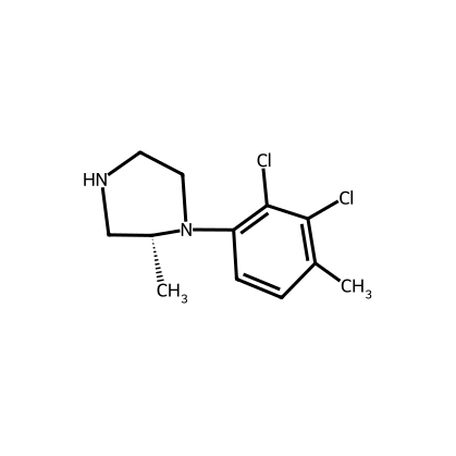 Cc1ccc(N2CCNC[C@H]2C)c(Cl)c1Cl